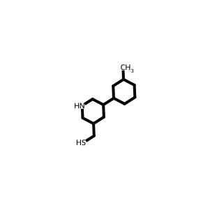 CC1CCCC(C2CNCC(CS)C2)C1